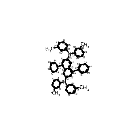 Cc1cccc(N(c2cccc(C)c2)c2cc(-c3ccccc3)c3cc(N(c4cccc(C)c4)c4cccc(C)c4)cc(-c4ccccc4)c3c2)c1